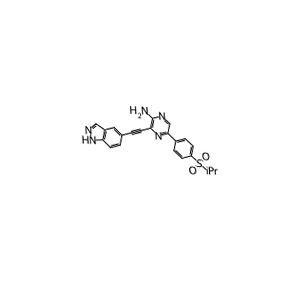 CC(C)S(=O)(=O)c1ccc(-c2cnc(N)c(C#Cc3ccc4[nH]ncc4c3)n2)cc1